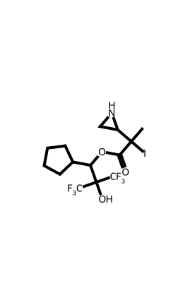 CC(I)(C(=O)OC(C1CCCC1)C(O)(C(F)(F)F)C(F)(F)F)C1CN1